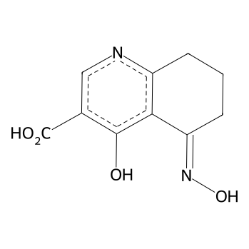 O=C(O)c1cnc2c(c1O)C(=NO)CCC2